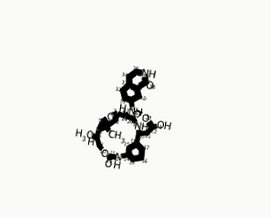 Cc1cc2ccc1[C@@H](C)COC(=O)Nc1cccc(c1)C(CC(=O)O)NC(=O)[C@@H]2Nc1ccc2cc[nH]c(=O)c2c1